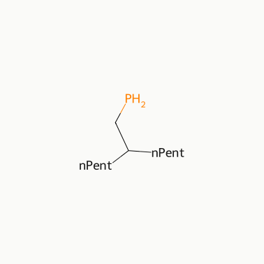 CCCCCC(CP)CCCCC